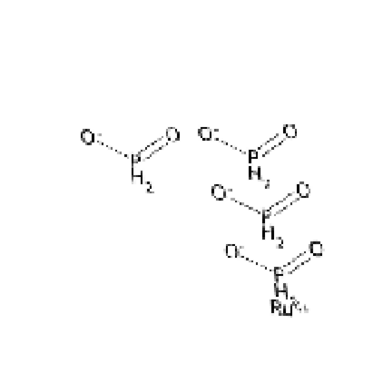 O=[PH2][O-].O=[PH2][O-].O=[PH2][O-].O=[PH2][O-].[Ru+4]